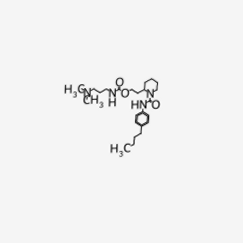 CCCCc1ccc(NC(=O)N2CCCCC2CCOC(=O)NCCCN(C)C)cc1